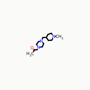 CC(=O)CN1CCN(CC2CCN(C)CC2)CC1